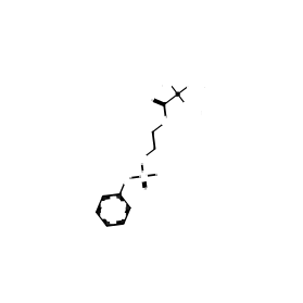 CC(C)(C)C(=O)SCCOP(=O)(Cl)Oc1ccccc1